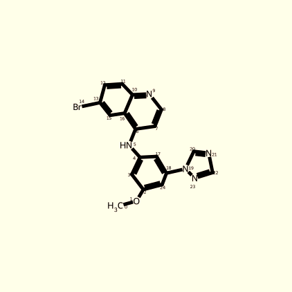 COc1cc(Nc2ccnc3ccc(Br)cc23)cc(-n2cncn2)c1